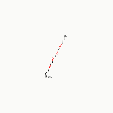 CCCC(C)CCCOCCOCCOCCOCCCC(C)C